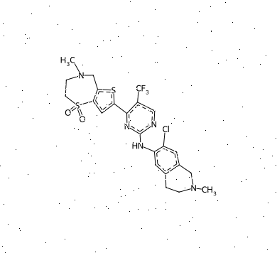 CN1CCc2cc(Nc3ncc(C(F)(F)F)c(-c4cc5c(s4)CN(C)CCS5(=O)=O)n3)c(Cl)cc2C1